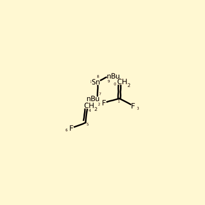 C=C(F)F.C=CF.CCC[CH2][Sn][CH2]CCC